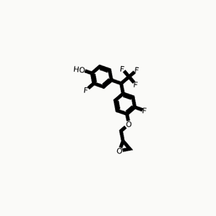 Oc1ccc(C(c2ccc(OCC3CO3)c(F)c2)C(F)(F)F)cc1F